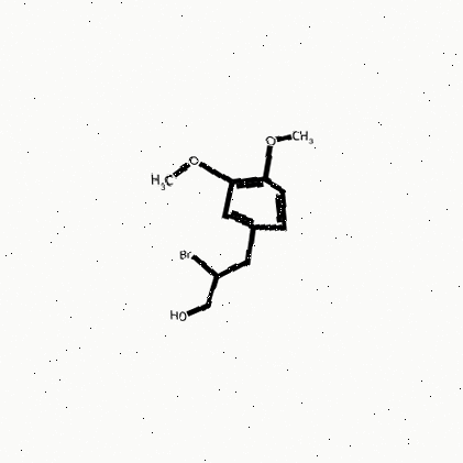 COc1ccc(CC(Br)CO)cc1OC